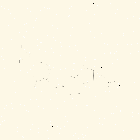 C[C@@]1(C(=O)O)[C@@H]2OC3=CC(Oc4ccc(C(F)(F)F)cc4Cl)=CCC3[C@@H]21